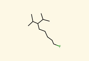 CC(C)C(CCCCCF)C(C)C